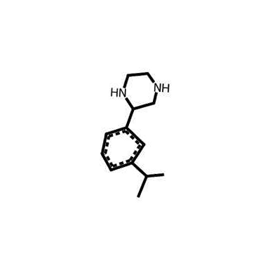 CC(C)c1cccc(C2CNCCN2)c1